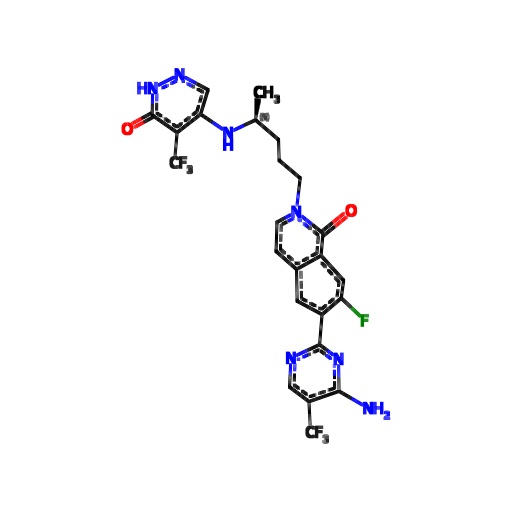 C[C@@H](CCCn1ccc2cc(-c3ncc(C(F)(F)F)c(N)n3)c(F)cc2c1=O)Nc1cn[nH]c(=O)c1C(F)(F)F